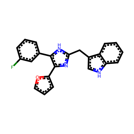 Fc1cccc(-c2[nH]c(Cc3c[nH]c4ccccc34)nc2-c2ccco2)c1